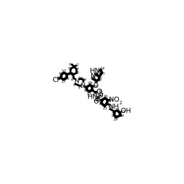 CC1(C)CCC(CN2CCN(c3ccc(C(=O)NS(=O)(=O)c4ccc(NCc5cccc(O)c5)c([N+](=O)[O-])c4)c(Oc4cnc5[nH]ccc5c4)c3)CC2)=C(c2ccc(Cl)cc2)C1